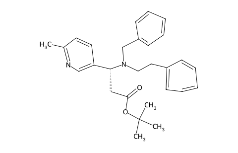 Cc1ccc([C@@H](CC(=O)OC(C)(C)C)N(CCc2ccccc2)Cc2ccccc2)cn1